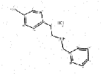 CCCc1ccc(CCNCc2ccccc2)cc1.Cl